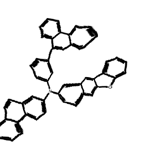 c1cc(-c2cc3ccccc3c3ccccc23)cc(N(c2ccc3cc4oc5ccccc5c4cc3c2)c2ccc3c(ccc4ccccc43)c2)c1